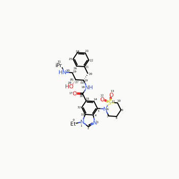 CCn1cnc2c(N3CCCCS3(=O)=O)cc(C(=O)N[C@@H](Cc3ccccc3)[C@H](O)CNC(C)C)cc21